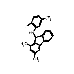 Cc1cc(C)c2c(c1)-c1ccccc1C2Nc1cc(C(F)(F)F)ccc1F